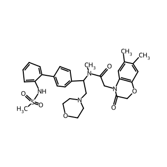 Cc1cc2c(cc1C)N(CC(=O)N(C)C(CN1CCOCC1)c1ccc(-c3ccccc3NS(C)(=O)=O)cc1)C(=O)CO2